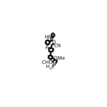 COC1(c2cc(-c3ccc(C[C@@H](C#N)ON(c4ccccc4)C4NC5CCC4C5)c(F)c3)ccc2C=O)CCN(C)C1